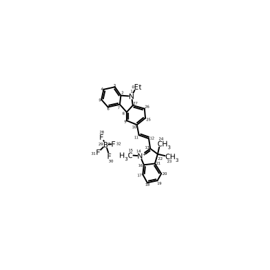 CCn1c2ccccc2c2cc(/C=C/C3=[N+](C)c4ccccc4C3(C)C)ccc21.F[B-](F)(F)F